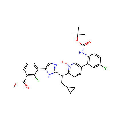 COC(=O)c1cccc(-c2cnc(C(CC3CC3)c3ccc(-c4cc(Cl)ccc4NC(=O)OC(C)(C)C)c[n+]3[O-])[nH]2)c1F